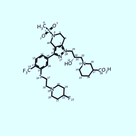 CS(=O)(=O)N1CCc2c(c(-c3ccc(C(F)(F)F)c(SCCN4CCC(F)CC4)c3)nn2C[C@@H](O)CN2CCCC(C(=O)O)C2)C1